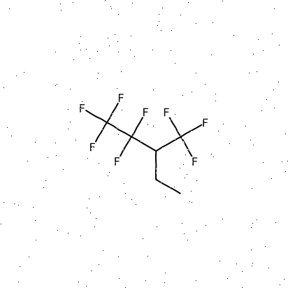 CCC(C(F)(F)F)C(F)(F)C(F)(F)F